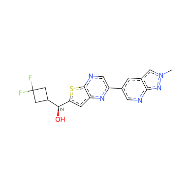 Cn1cc2cc(-c3cnc4sc([C@@H](O)C5CC(F)(F)C5)cc4n3)cnc2n1